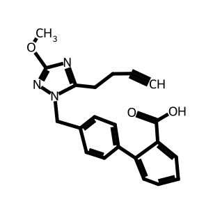 C#CCCc1nc(OC)nn1Cc1ccc(-c2ccccc2C(=O)O)cc1